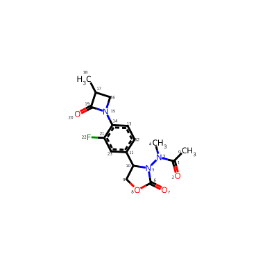 CC(=O)N(C)N1C(=O)OCC1c1ccc(N2CC(C)C2=O)c(F)c1